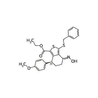 CCOC(=O)c1sc(SCc2ccccc2)c2c1[C@H](c1ccc(OC)cc1)CCC2=NO